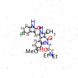 CCN(CC)CC(O)CNC(=O)c1c(C)[nH]c(C=C2C(=O)Nc3ccc(F)cc32)c1-c1ccc(OC)cc1